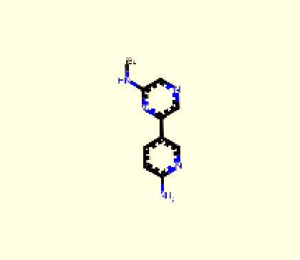 CCC(C)Nc1cncc(-c2ccc(N)nc2)n1